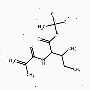 C=C(C)C(=O)NC(C(=O)OC(C)(C)C)C(C)CC